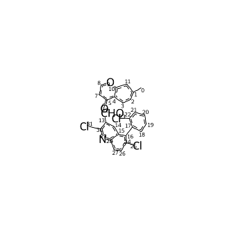 Cc1ccc2c(=O)ccoc2c1.O=Cc1cc2c(-c3ccccc3Cl)c(Cl)ccc2nc1Cl